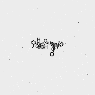 CCc1ccccc1C(=O)N[C@@H](CNC(=O)CO[C@@H]1C[C@@H](CNc2ccccn2)N(C(=O)OCc2ccccc2)C1)C(=O)O